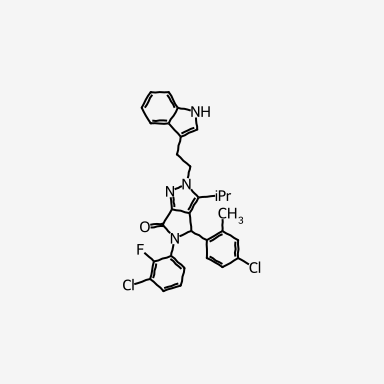 Cc1cc(Cl)ccc1C1c2c(nn(CCc3c[nH]c4ccccc34)c2C(C)C)C(=O)N1c1cccc(Cl)c1F